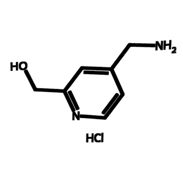 Cl.NCc1ccnc(CO)c1